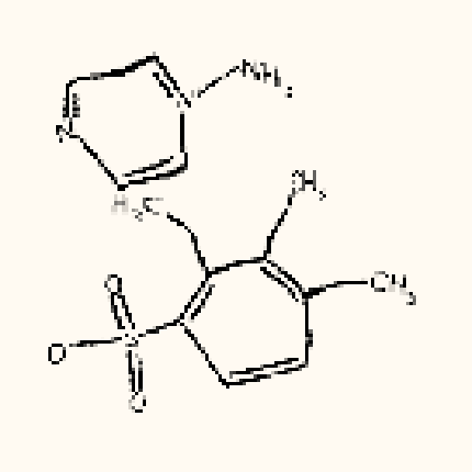 Cc1ccc(S(=O)(=O)[O-])c(C)c1C.N[n+]1ccncc1